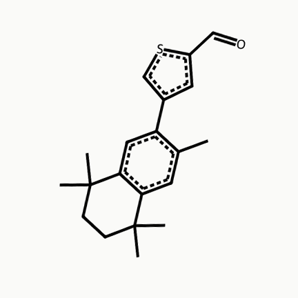 Cc1cc2c(cc1-c1csc(C=O)c1)C(C)(C)CCC2(C)C